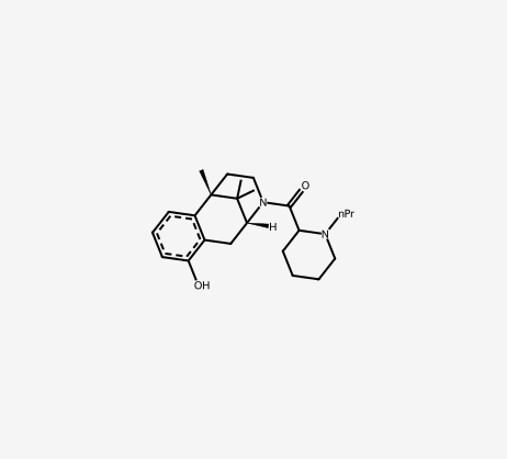 CCCN1CCCCC1C(=O)N1CC[C@@]2(C)c3cccc(O)c3C[C@@H]1C2(C)C